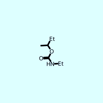 CCNC(=O)OC(C)CC